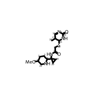 COC1CCC(C2(NC(=O)CSC3NC(=O)N=CC3C)CC2)NC1